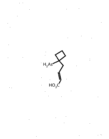 O=C(O)C=CCC1([AsH2])CCC1